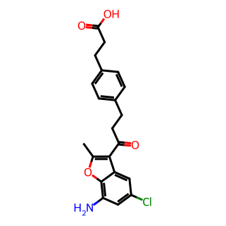 Cc1oc2c(N)cc(Cl)cc2c1C(=O)CCc1ccc(CCC(=O)O)cc1